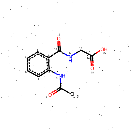 CC(=O)Nc1ccccc1C(=O)NCC(=O)O